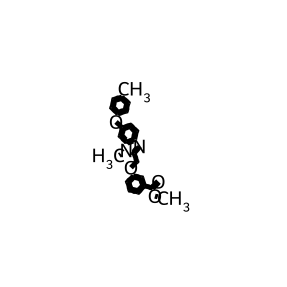 COC(=O)c1cccc(OCc2nc3ccc(Oc4ccc(C)cc4)cc3n2C)c1